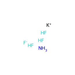 F.F.F.N.[F-].[K+]